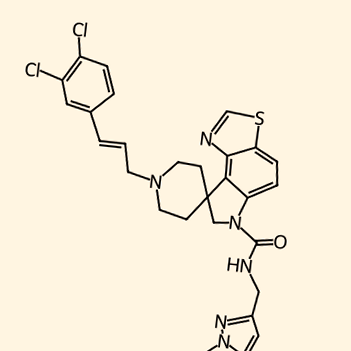 Cn1ccc(CNC(=O)N2CC3(CCN(CC=Cc4ccc(Cl)c(Cl)c4)CC3)c3c2ccc2scnc32)n1